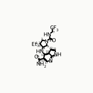 CC[C@@H]1CN(C(=O)NCC(F)(F)F)C[C@H]1Nc1c(C(N)=O)cnc2[nH]ccc12